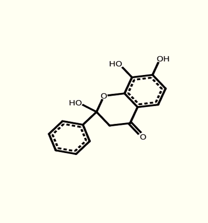 O=C1CC(O)(c2ccccc2)Oc2c1ccc(O)c2O